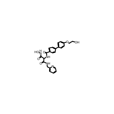 O=C(NC(C(=O)NO)C(=O)NCc1ccccn1)c1ccc(-c2ccc(OCCO)cc2)cc1